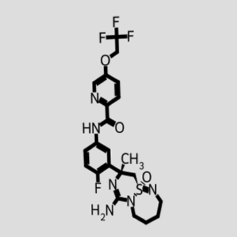 C[C@@]1(c2cc(NC(=O)c3ccc(OCC(F)(F)F)cn3)ccc2F)C[S@@]2(=O)=NCCCCN2C(N)=N1